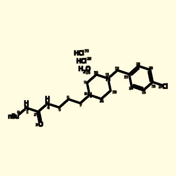 CCCCNC(=O)NCCCN1CCN(Cc2ccc(Cl)cc2)CC1.Cl.Cl.O